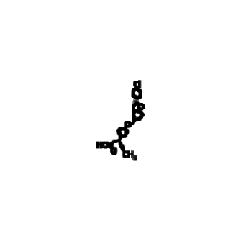 CC#CC(CC(=O)O)c1ccc(OCc2ccc3c(c2)C[C@H](c2ccc(Cl)cc2)O3)cc1